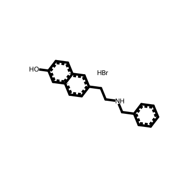 Br.Oc1ccc2cc(CCNCc3ccccc3)ccc2c1